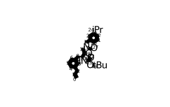 C=CCc1cccc(C[C@H](NC(=O)OC(C)(C)C)C2CN(Cc3cccc(C(C)C)c3)C(=O)O2)c1